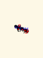 Cc1ccc2c(-c3ccccn3)cc(=O)n(CCN3CCC(NCc4ccc5c(c4)OCCO5)CC3)c2c1